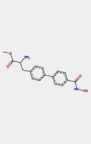 COC(=O)C(N)Cc1ccc(-c2ccc(C(=O)NO)cc2)cc1